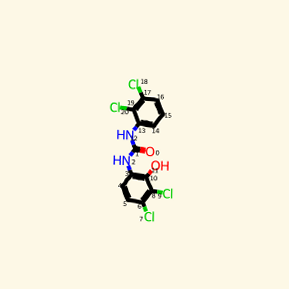 O=C(Nc1ccc(Cl)c(Cl)c1O)Nc1cccc(Cl)c1Cl